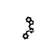 C(=C1CCc2ccccc21)c1cncn1Cc1ccccc1